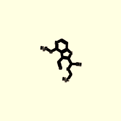 CCOC(O)c1sc2ccnc(OC)c2c1C=O